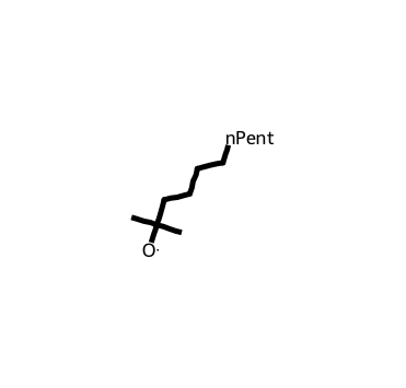 CCCCCCCCCC(C)(C)[O]